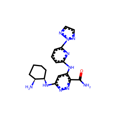 NC(=O)c1nnc(N[C@@H]2CCCC[C@@H]2N)cc1Nc1cccc(-n2nccn2)n1